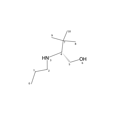 CCCN[C@@H](CO)C(C)(C)C